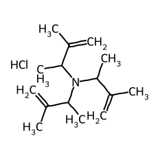 C=C(C)C(C)N(C(C)C(=C)C)C(C)C(=C)C.Cl